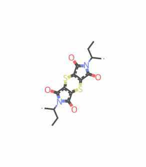 [CH2]C(CC)n1c(=O)c2sc3c(=O)n(C([CH2])CC)c(=O)c3sc2c1=O